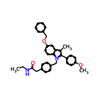 CCNC(=O)Cc1ccc(Cn2c(-c3ccc(OC)cc3)c(C)c3cc(OCc4ccccc4)ccc32)cc1